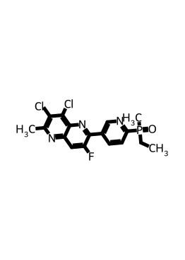 CCP(C)(=O)c1ccc(-c2nc3c(Cl)c(Cl)c(C)nc3cc2F)cn1